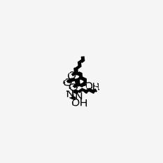 CCCCCc1cc2cc(O)cc(Oc3ncc(O)nc3CCCCC)c2c(=O)o1